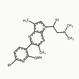 CCC(CN(C)C)n1cc(C)c2nc(-c3ccc(C(C)C)nc3OC)c(C)nc21